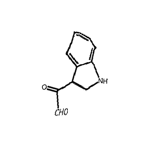 O=CC(=O)C1CNc2ccccc21